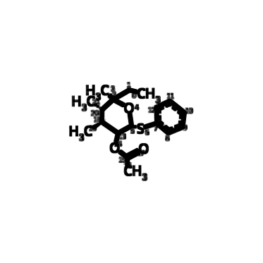 CCC1(C)O[C@H](Sc2ccccc2)C(OC(C)=O)[C@@H](C)[C@@H]1C